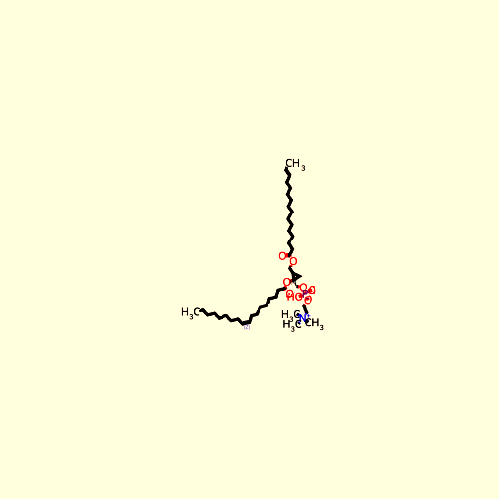 CCCCCCCC/C=C\CCCCCCCC(=O)O[C@]1(COP(=O)(O)OCC[N+](C)(C)C)CC1COC(=O)CCCCCCCCCCCCCCC